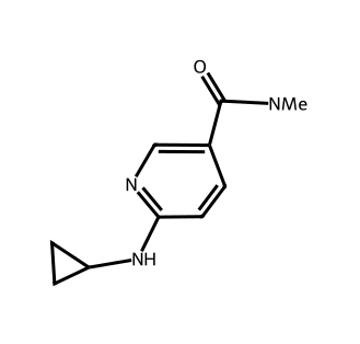 CNC(=O)c1ccc(NC2CC2)nc1